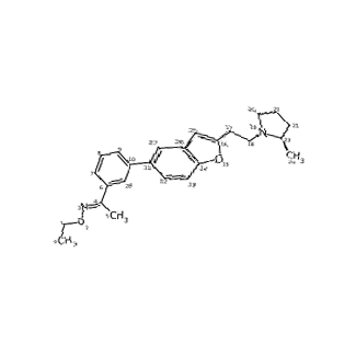 CCO/N=C(\C)c1cccc(-c2ccc3oc(CCN4CCC[C@H]4C)cc3c2)c1